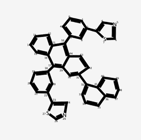 c1cc(-c2cncs2)cc(-c2c3ccccc3c(-c3cccc(-c4cncs4)c3)c3cc(-c4cccc5ccccc45)ccc23)c1